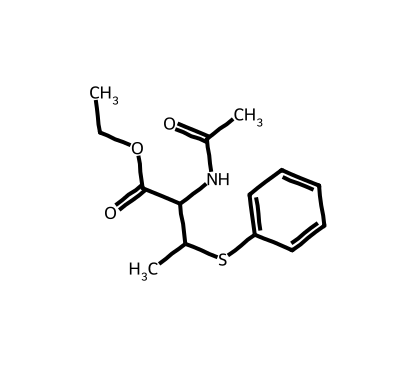 CCOC(=O)C(NC(C)=O)C(C)Sc1ccccc1